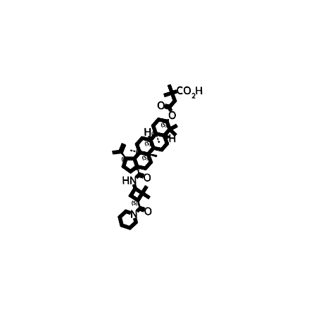 C=C(C)[C@@H]1CC[C@]2(C(=O)NC3C[C@H](C(=O)N4CCCCC4)C3(C)C)CC[C@@]3(C)C4CC[C@H]5C(C)(C)[C@@H](OC(=O)CC(C)(C)C(=O)O)CC[C@]5(C)[C@H]4CC[C@]3(C)C12